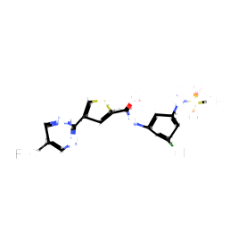 CS(=O)(=O)Nc1cc(Cl)cc(NC(=O)c2cc(-c3ncc(C(F)(F)F)cn3)cs2)c1